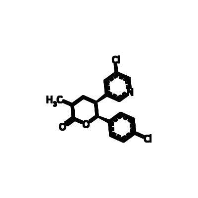 CC1C[C@@H](c2cncc(Cl)c2)[C@@H](c2ccc(Cl)cc2)OC1=O